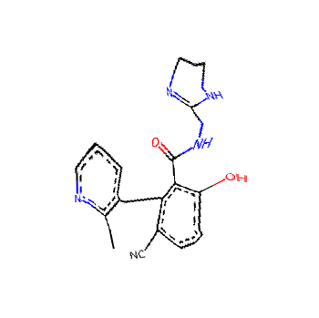 Cc1ncccc1-c1c(C#N)ccc(O)c1C(=O)NC1=NCCN1